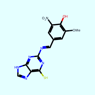 COc1cc(C=Nc2nc(S)c3nc[nH]c3n2)cc([N+](=O)[O-])c1O